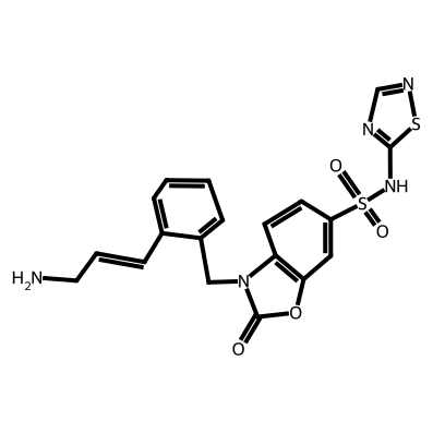 NC/C=C/c1ccccc1Cn1c(=O)oc2cc(S(=O)(=O)Nc3ncns3)ccc21